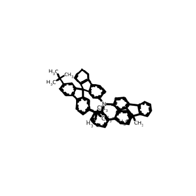 CC(C)(C)c1ccc2c(c1)C1(C3=C(CCC=C3)c3ccc(N(c4ccc5c(c4)C(C)(C)c4ccccc4-5)c4ccccc4-c4ccccc4)cc31)c1cc(C(C)(C)C)ccc1-2